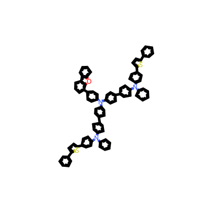 c1ccc(-c2ccc(-c3ccc(N(c4ccccc4)c4ccc(-c5ccc(N(c6ccc(-c7ccc(N(c8ccccc8)c8ccc(-c9ccc(-c%10ccccc%10)s9)cc8)cc7)cc6)c6ccc(-c7cccc8c7oc7ccccc78)cc6)cc5)cc4)cc3)s2)cc1